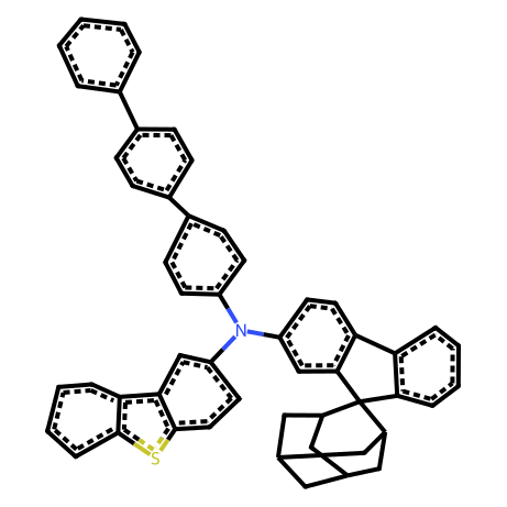 c1ccc(-c2ccc(-c3ccc(N(c4ccc5c(c4)C4(c6ccccc6-5)C5CC6CC(C5)CC4C6)c4ccc5sc6ccccc6c5c4)cc3)cc2)cc1